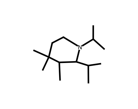 CC(C)C1C(C)C(C)(C)CCN1C(C)C